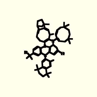 CCC1=CC2=C3B(C4=C(C(C)/C=C5\C(=C/CC4)C4CCC5(C)C4)N(C4=C/CC(C)(C)CCC(C)(C)C/C=C\4)C3C1)c1ccc(C(C)(C)CC)cc1N2c1cc2c(cc1C)C(C)(C)CCC2(C)C